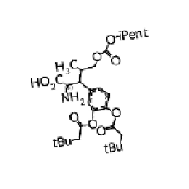 CCCC(C)OC(=O)OCC(C)C(c1ccc(OC(=O)CC(C)(C)C)c(OC(=O)CC(C)(C)C)c1)[C@H](N)C(=O)O